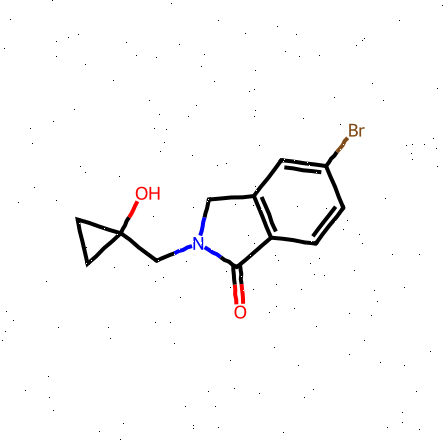 O=C1c2ccc(Br)cc2CN1CC1(O)CC1